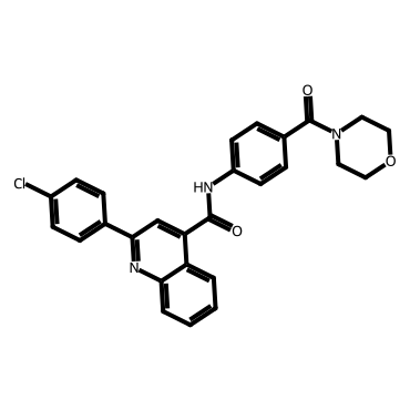 O=C(Nc1ccc(C(=O)N2CCOCC2)cc1)c1cc(-c2ccc(Cl)cc2)nc2ccccc12